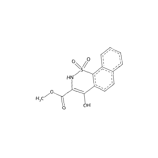 COC(=O)C1=C(O)c2ccc3ccccc3c2S(=O)(=O)N1